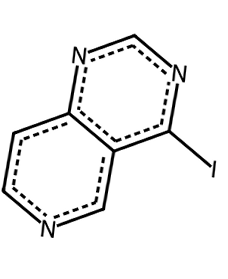 Ic1ncnc2ccncc12